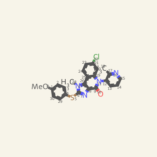 COc1ccc(Sc2nc3c(=O)n(-c4cccnc4C)c4cc(Cl)ccc4c3n2C)cc1